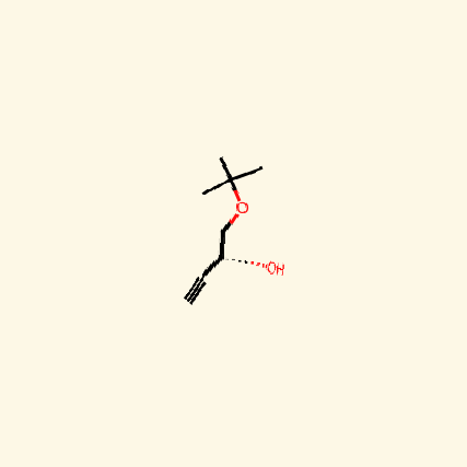 C#C[C@@H](O)COC(C)(C)C